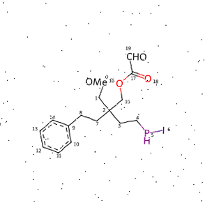 COCC(CCPI)(CCc1ccccc1)COC(=O)C=O